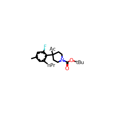 CCCc1cc(C)cc(F)c1C1(C(C)=O)CCN(C(=O)OC(C)(C)C)CC1